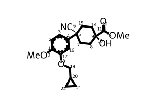 COc1ccc([C@]2(C#N)CC[C@@](O)(C(=O)OC)CC2)cc1OCC1CC1